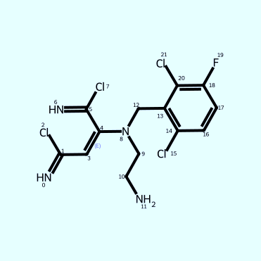 N=C(Cl)/C=C(\C(=N)Cl)N(CCN)Cc1c(Cl)ccc(F)c1Cl